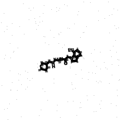 CCc1cccc2ccn(CC(=O)NCCNCC3CCCCC3)c12